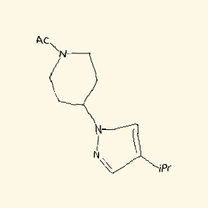 CC(=O)N1CCC(n2cc(C(C)C)cn2)CC1